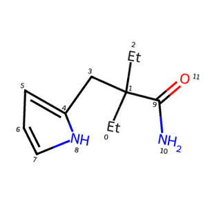 CCC(CC)(Cc1ccc[nH]1)C(N)=O